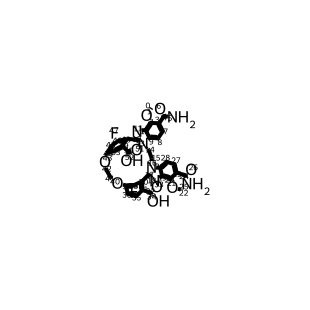 COc1c(C(N)=O)ccc2c1nc1n2CCn2c(nc3c(OC)c(C(N)=O)ccc32)-c2c(C(=O)O)ccc(c2F)OCCOc2cc(F)c-1c(C(=O)O)c2